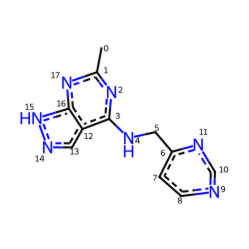 Cc1nc(NCc2ccncn2)c2cn[nH]c2n1